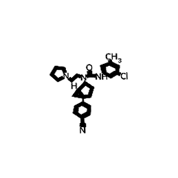 Cc1cc(Cl)cc(NC(=O)N(CCN2CCCC2)[C@@H]2CC[C@]3(c4ccc(C#N)cc4)C[C@H]23)c1